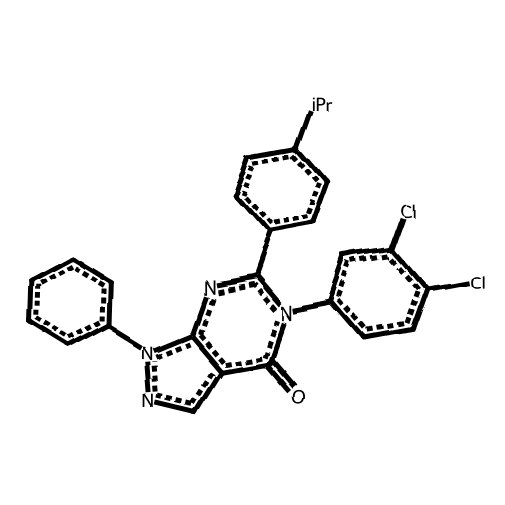 CC(C)c1ccc(-c2nc3c(cnn3-c3ccccc3)c(=O)n2-c2ccc(Cl)c(Cl)c2)cc1